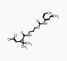 C=C/C=C(\C=C/C)NC(=O)OCCCNC(=O)C1C(C=C(Cl)Cl)C1(C)C